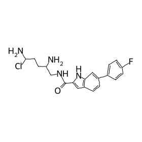 NC(Cl)CCC(N)CNC(=O)c1cc2ccc(-c3ccc(F)cc3)cc2[nH]1